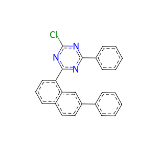 Clc1nc(-c2ccccc2)nc(-c2cccc3ccc(-c4ccccc4)cc23)n1